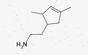 CC1=CC(C)C(CCN)C1